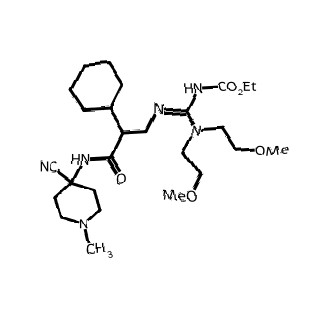 CCOC(=O)NC(=NCC(C(=O)NC1(C#N)CCN(C)CC1)C1CCCCC1)N(CCOC)CCOC